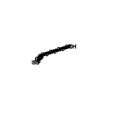 CC(C)(C)OC(=O)N1CCC(OCCOCCOCCOCCOCCOCCOCCO)CC1